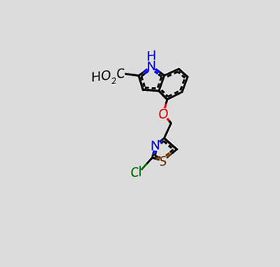 O=C(O)c1cc2c(OCc3csc(Cl)n3)cccc2[nH]1